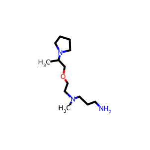 CC(COCCN(C)CCCN)N1CCCC1